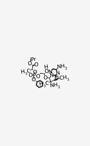 CC#CC(C)(N)[C@@H](O[C@@H](O)CO[P@](=O)(Oc1ccccc1)O[C@@H](C)C(=O)OC(C)C)n1ncc(N)nc1=O